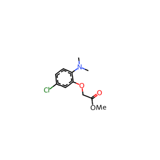 COC(=O)COc1cc(Cl)ccc1N(C)C